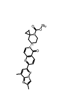 Cc1cn2nc(-c3ccc4c(=O)n([C@H]5CCN(C(=O)OC(C)(C)C)C6(CC6)C5)ccc4n3)cc(C)c2n1